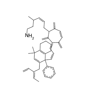 C=C/C(=C/C)CC1=CC(C)(C)C2=C(CCCC2)C1(/C=C\C=C1C(=C)C=CC(=C)C(C/C=C\C(C)CCN)C1=C)c1ccccc1